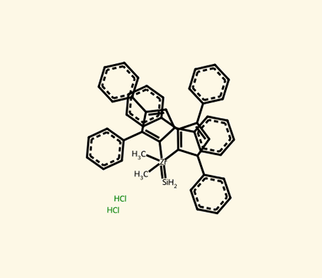 Cl.Cl.[CH3][Zr]([CH3])(=[SiH2])([C]1=C(c2ccccc2)C(c2ccccc2)=CC1c1ccccc1)[C]1=C(c2ccccc2)C(c2ccccc2)=CC1c1ccccc1